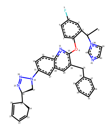 CC(c1cc(F)ccc1Oc1nc2ccc(N3C[C@@H]([C@@H]4C=CC=CC4)N=N3)cc2cc1Cc1ccccc1)n1ccnc1